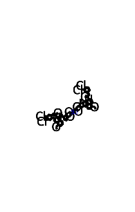 COc1cccc2c1CCN(C(=O)Cc1ccc(Cl)c(Cl)c1)C2CN1CCC(OC(=O)/C=C/C(=O)OC2CCN(CC3c4cccc(OC)c4CCN3C(=O)Cc3ccc(Cl)c(Cl)c3)C2)C1